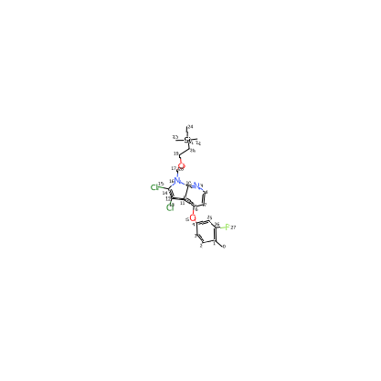 Cc1ccc(Oc2ccnc3c2c(Cl)c(Cl)n3COCC[Si](C)(C)C)cc1F